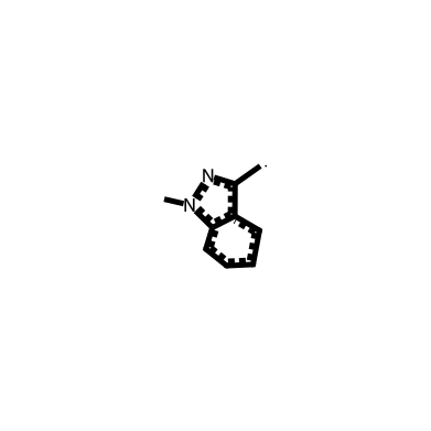 [CH2]c1nn(C)c2ccccc12